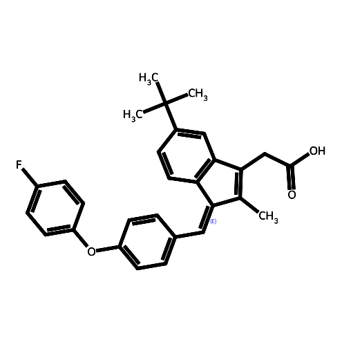 CC1=C(CC(=O)O)c2cc(C(C)(C)C)ccc2/C1=C\c1ccc(Oc2ccc(F)cc2)cc1